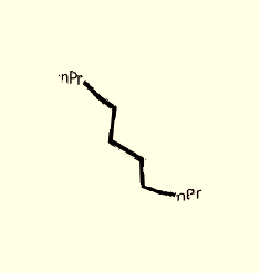 CC[CH]CC[CH]CCCC